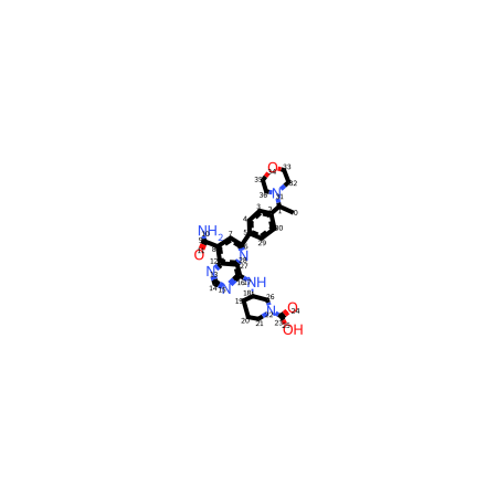 CC(c1ccc(-c2cc(C(N)=O)c3ncnc(N[C@H]4CCCN(C(=O)O)C4)c3n2)cc1)N1CCOCC1